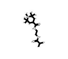 CC(I)C(=O)OCCOC(=O)C1CC(C)(C)N(C)C(C)(C)C1